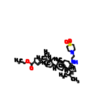 C=C(C)[C@@H]1CC[C@]2(NCCN3CCS(=O)(=O)CC3)CC[C@]3(C)[C@H](CC[C@@H]4[C@@]5(C)CC=C(C6=CC(C(=O)OCC)CC6)C(C)(C)[C@@H]5CC[C@]43C)[C@@H]12